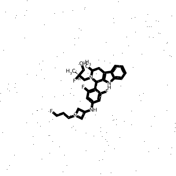 CC1Cc2c([nH]c3ccccc23)C(c2c(F)cc(NC3CN(CCCF)C3)cc2F)N1C[C@@](C)(F)CO